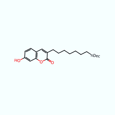 CCCCCCCCCCCCCCCCCc1cc2ccc(O)cc2oc1=O